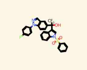 O=S(=O)(c1ccccc1)n1cc(C(O)(c2ccc3c(cnn3-c3ccc(F)cc3)c2)C(F)(F)F)c2ccccc21